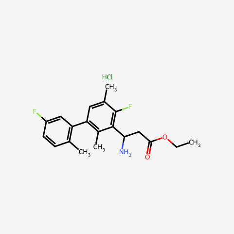 CCOC(=O)CC(N)c1c(C)c(-c2cc(F)ccc2C)cc(C)c1F.Cl